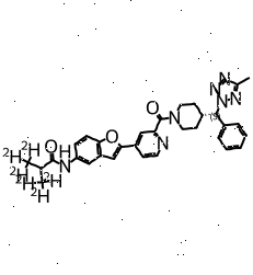 [2H]C([2H])([2H])C(C(=O)Nc1ccc2oc(-c3ccnc(C(=O)N4CCC([C@@H](c5ccccc5)n5nnc(C)n5)CC4)c3)cc2c1)C([2H])([2H])[2H]